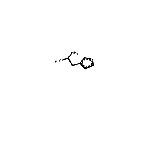 CC(N)Cc1ccsc1